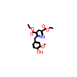 CCOC(=O)C1=CNC(Cc2ccc(O)c(OC)c2)=C(C(=O)OCC)C1